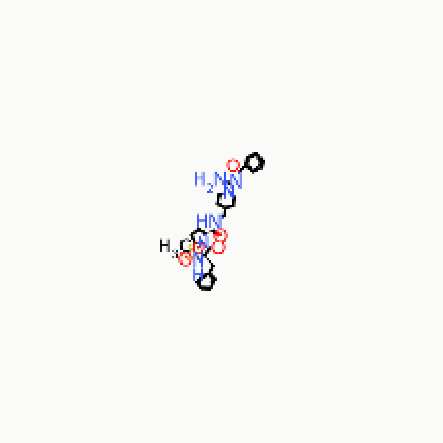 CS(=O)(=O)N[C@H](Cc1ccccc1)C(=O)N1CCC[C@H]1C(=O)NCC1CCN(/C(N)=N/C(=O)c2ccccc2)CC1